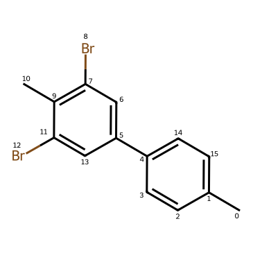 Cc1ccc(-c2cc(Br)c(C)c(Br)c2)cc1